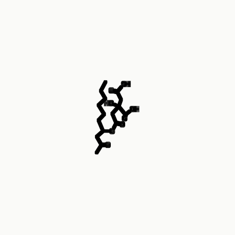 CCCCCCC(CC(C)=O)OC(=O)CC(O)(CC(=O)O)C(=O)O